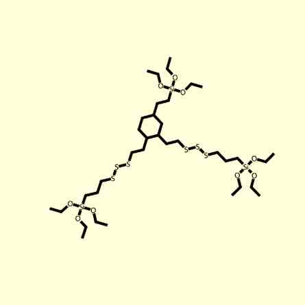 CCO[Si](CCCSSSCCC1CCC(CC[Si](OCC)(OCC)OCC)CC1CCSSSCCC[Si](OCC)(OCC)OCC)(OCC)OCC